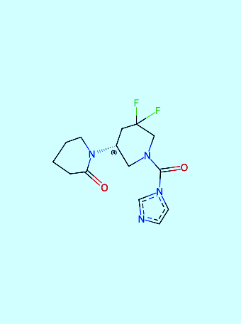 O=C1CCCCN1[C@H]1CN(C(=O)n2ccnc2)CC(F)(F)C1